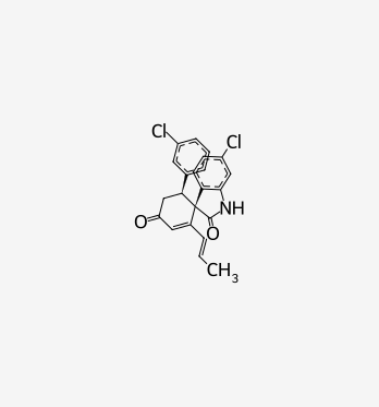 C/C=C/C1=CC(=O)C[C@@H](c2cccc(Cl)c2)[C@]12C(=O)Nc1cc(Cl)ccc12